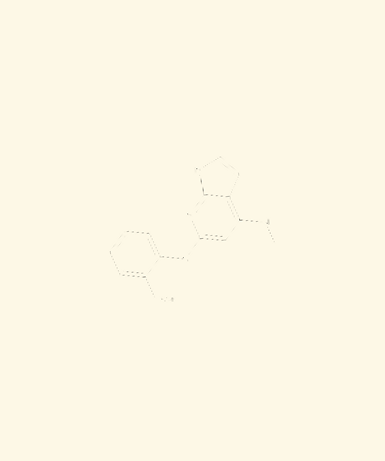 CCNc1cc(Nc2cc[c]cc2OC)nc2[nH]ccc12